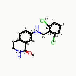 O=C1NCCc2ccc(NCc3c(Cl)cccc3Cl)cc21